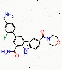 NCc1ccc(-c2cc(C(N)=O)c3[nH]c4ccc(C(=O)N5CCOCC5)cc4c3c2)c(F)c1